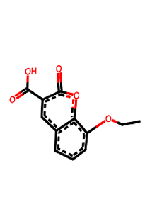 CCOc1cccc2cc(C(=O)O)c(=O)oc12